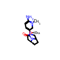 CN1CC(N2CC3CCC(CC2=O)N3C(=O)OC(C)(C)C)=CC=C1N